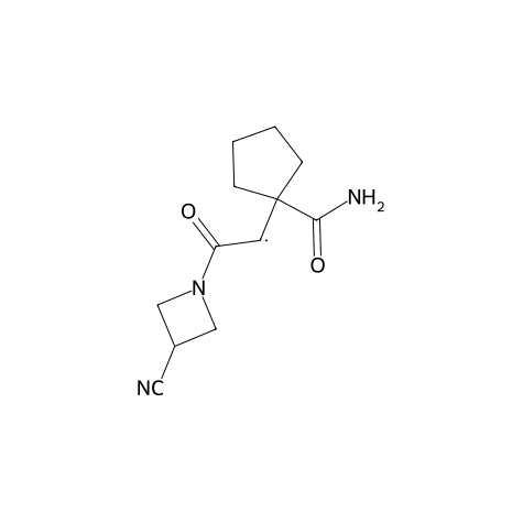 N#CC1CN(C(=O)[CH]C2(C(N)=O)CCCC2)C1